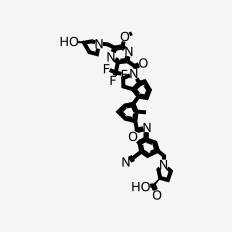 COc1nc(C(=O)N2CCc3c(-c4cccc(-c5nc6cc(CN7CC[C@@H](C(=O)O)C7)cc(C#N)c6o5)c4C)cccc32)c(C(F)(F)F)nc1CN1CC[C@@H](O)C1